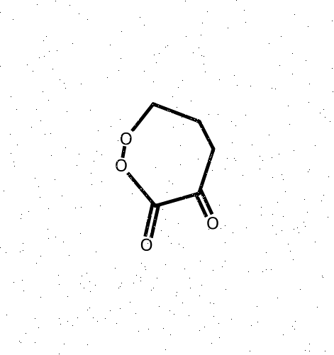 O=C1CCCOOC1=O